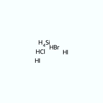 Br.Cl.I.I.[SiH4]